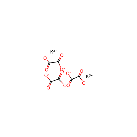 O=C([O-])C(=O)[O-].O=C([O-])C(=O)[O-].O=C([O-])C(=O)[O-].[K+3].[K+3]